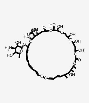 CC1/C=C/C=CCC/C=C/C=C\C=C/C=C\C(OC2OC(C)C(O)C(N)C2O)CC(O)C(C(=O)O)C(O)CC(=O)CC(O)C(O)CCC(O)CC(O)CC(O)CC(=O)OC(C)C(C)C1O